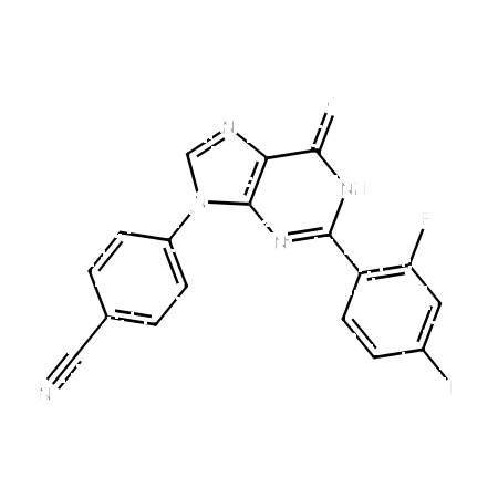 N#Cc1ccc(-n2cnc3c(=O)[nH]c(-c4ccc(F)cc4F)nc32)cc1